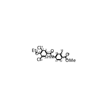 CCOc1c(Cl)cc(C(=O)Nc2ccc(C(=O)OC)c(C)c2)cc1Cl